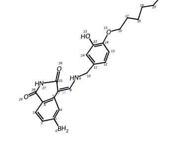 Bc1ccc2c(c1)/C(=C/NCc1ccc(OCCCCCC)c(O)c1)C(=O)NC2=O